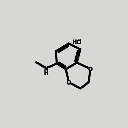 CNc1cccc2c1OCCO2.Cl